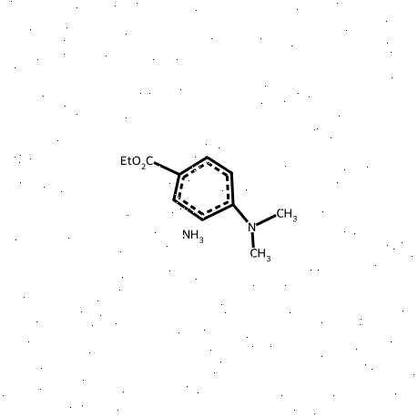 CCOC(=O)c1ccc(N(C)C)cc1.N